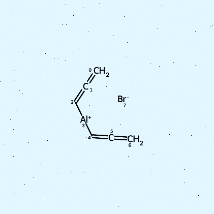 C=C=[CH][Al+][CH]=C=C.[Br-]